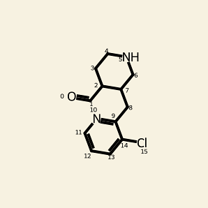 O=CC1CCNCC1Cc1ncccc1Cl